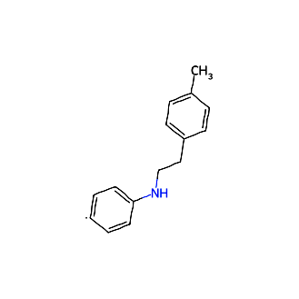 Cc1ccc(CCNc2cc[c]cc2)cc1